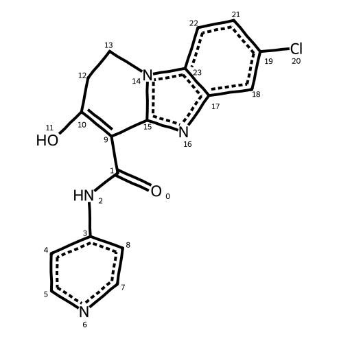 O=C(Nc1ccncc1)C1=C(O)CCn2c1nc1cc(Cl)ccc12